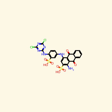 Nc1c(S(=O)(=O)O)cc(Nc2ccc(Nc3nc(Cl)nc(Cl)n3)c(S(=O)(=O)O)c2)c2c1C(=O)c1ccccc1C2=O